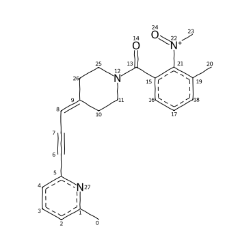 Cc1cccc(C#CC=C2CCN(C(=O)c3cccc(C)c3[N+](C)=O)CC2)n1